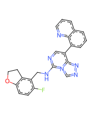 Fc1ccc2c(c1CNc1ncc(-c3cccc4cccnc34)c3nncn13)CCO2